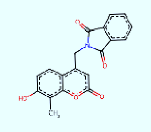 Cc1c(O)ccc2c(CN3C(=O)c4ccccc4C3=O)cc(=O)oc12